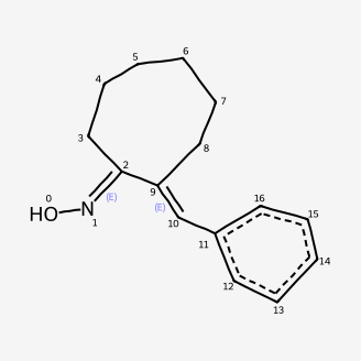 O/N=C1\CCCCCC\C1=C/c1ccccc1